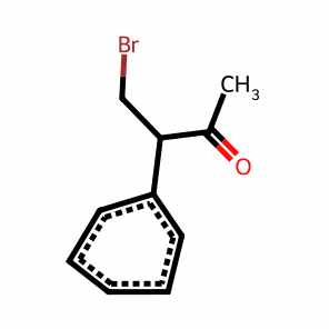 CC(=O)C(CBr)c1ccccc1